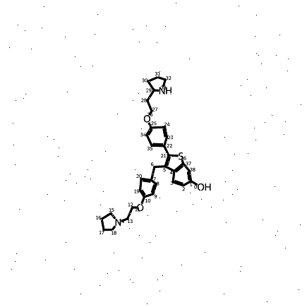 Oc1ccc2c(Cc3ccc(OCCN4CCCC4)cc3)c(-c3ccc(OCCC4CCCN4)cc3)sc2c1